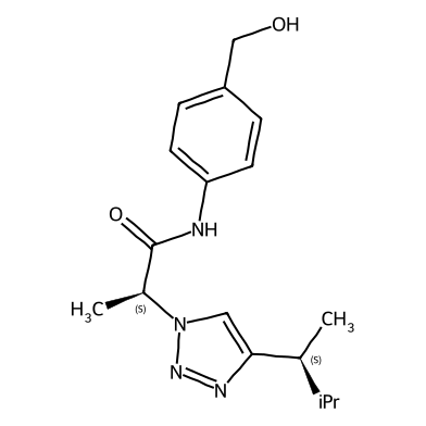 CC(C)[C@H](C)c1cn([C@@H](C)C(=O)Nc2ccc(CO)cc2)nn1